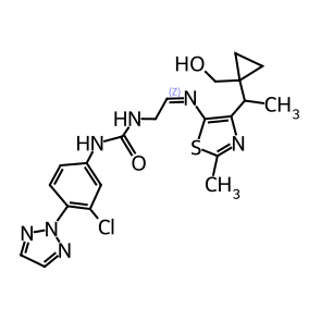 Cc1nc(C(C)C2(CO)CC2)c(/N=C\CNC(=O)Nc2ccc(-n3nccn3)c(Cl)c2)s1